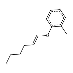 CCCCC=COc1ccccc1C